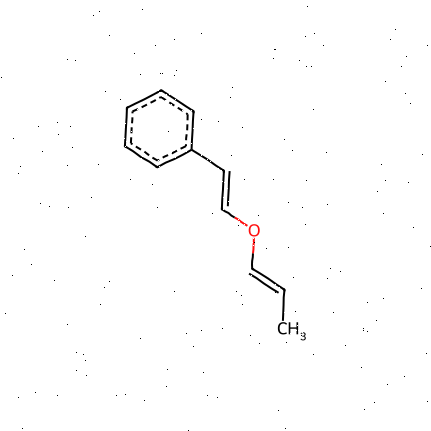 C/C=C/O/C=C/c1ccccc1